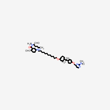 C=CCCC(C=O)N(C)C(=O)c1cc(NCCCCCCCCCCCCOC2=CCC=C(C(C)(C)c3ccc(OCc4ccnc(N(C)CC)n4)cc3)C=C2)ccc1C=O